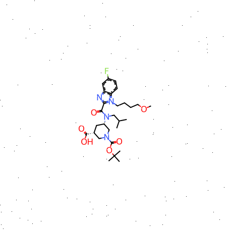 COCCCCn1c(C(=O)N(CC(C)C)[C@H]2C[C@@H](C(=O)O)CN(C(=O)OC(C)(C)C)C2)nc2cc(F)ccc21